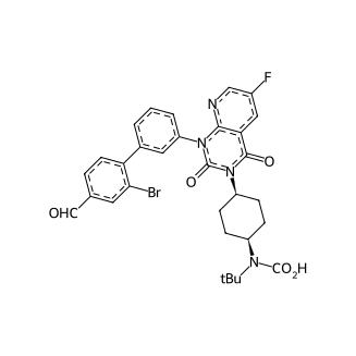 CC(C)(C)N(C(=O)O)[C@H]1CC[C@@H](n2c(=O)c3cc(F)cnc3n(-c3cccc(-c4ccc(C=O)cc4Br)c3)c2=O)CC1